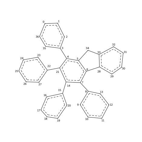 c1ccc(-c2c3c(c(-c4ccccc4)c(-c4ccccc4)c2-c2ccccc2)-c2ccccc2C3)cc1